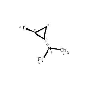 CCN(C)[C@H]1C[C@@H]1F